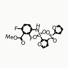 COC(=O)c1c(F)ccc(NS(=O)(=O)c2occc2S(=O)(=O)c2ccco2)c1F